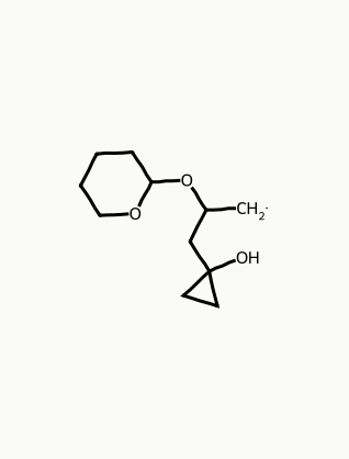 [CH2]C(CC1(O)CC1)OC1CCCCO1